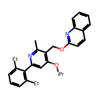 CCc1cccc(CC)c1-c1cc(OC(C)C)c(COc2ccc3ccccc3n2)c(C)n1